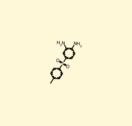 Cc1ccc(S(=O)(=O)c2ccc(N)c(N)c2)cc1